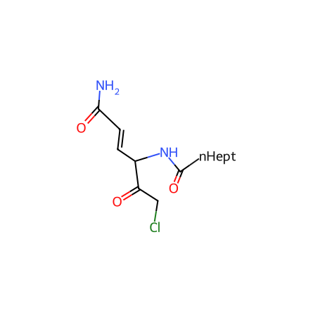 CCCCCCCC(=O)NC(/C=C/C(N)=O)C(=O)CCl